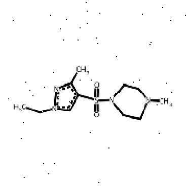 CCn1cc(S(=O)(=O)N2CCN(C)CC2)c(C)n1